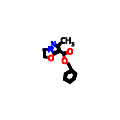 Cc1nn2c(c1C(=O)OCc1ccccc1)OCC2